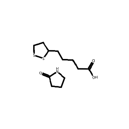 O=C(O)CCCCC1CCSS1.O=C1CCCN1